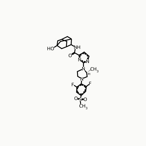 C[C@@H]1CN(c2c(F)cc(S(C)(=O)=O)cc2F)CCN1c1nccc(C(=O)NC2C3CC4CC2CC(O)(C4)C3)n1